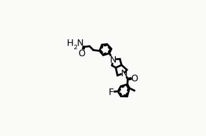 Cc1ccc(F)cc1C(=O)N1CC2CN(c3cccc(CCC(N)=O)c3)CC2C1